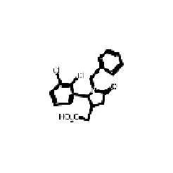 O=C(O)CC1CC(=O)N(Cc2ccccc2)C1c1cccc(Cl)c1Cl